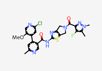 COc1cnc(Cl)cc1-c1cc(C)ncc1C(=O)Nc1nc2c(s1)CN(C(=O)c1nn(C)c(C)c1F)C2